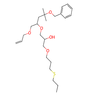 C=CCOCC(CC(C)(C)OCc1ccccc1)OCC(O)COCCCSCCC